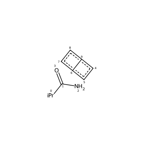 CC(C)C(N)=O.c1cc2ccc1-2